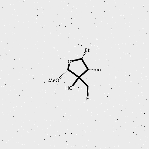 CC[C@H]1O[C@@H](OC)C(O)(CF)[C@H]1C